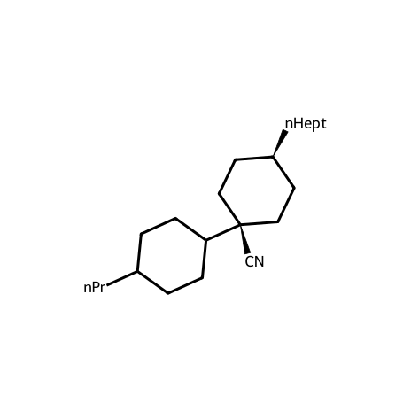 CCCCCCC[C@H]1CC[C@](C#N)(C2CCC(CCC)CC2)CC1